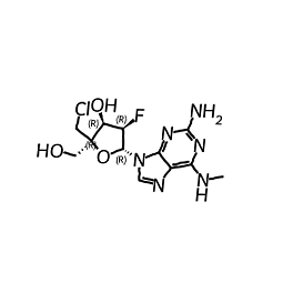 CNc1nc(N)nc2c1ncn2[C@@H]1O[C@@](CO)(CCl)[C@@H](O)[C@H]1F